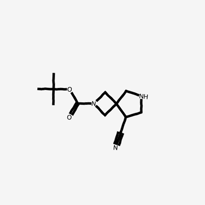 CC(C)(C)OC(=O)N1CC2(CNCC2C#N)C1